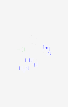 Cl.Nc1nc(Cc2cn(Cc3ccccc3)nn2)c[nH]1